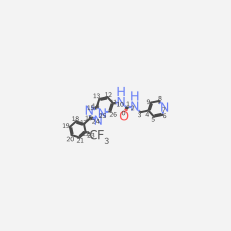 O=C(NCc1ccncc1)Nc1ccc2nc(-c3ccccc3C(F)(F)F)nn2c1